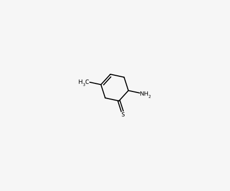 CC1=CCC(N)C(=S)C1